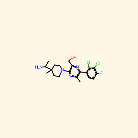 Cc1nc(N2CCC(C)(C(C)N)CC2)c(CO)nc1-c1ccc(F)c(Cl)c1Cl